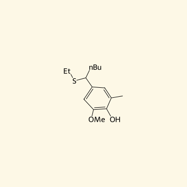 CCCCC(SCC)c1cc(C)c(O)c(OC)c1